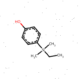 CC[Si](C)(C)c1ccc(O)cc1